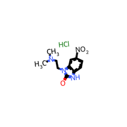 CN(C)CCn1c(=O)[nH]c2ccc([N+](=O)[O-])cc21.Cl